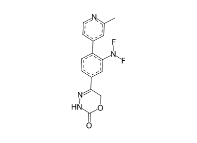 Cc1cc(-c2ccc(C3=NNC(=O)OC3)cc2N(F)F)ccn1